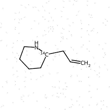 C=C[CH][14CH]1CCCCN1